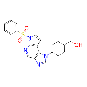 O=S(=O)(c1ccccc1)n1ccc2c3c(cnc21)ncn3C1CCC(CO)CC1